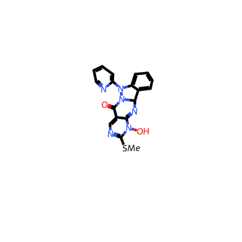 CSC1=NC=C2C(=O)N3C(N=C2N1O)c1ccccc1N3c1ccccn1